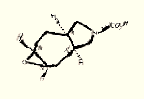 O=C(O)N1C[C@H]2C[C@@H]3O[C@@H]3C[C@H]2C1